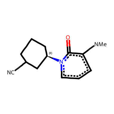 CNc1cccn([C@@H]2CCCC(C#N)C2)c1=O